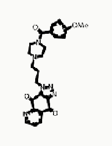 COc1ccc(C(=O)N2CCN(CCCn3nnc4c3C(=O)c3ncccc3C4=O)CC2)cc1